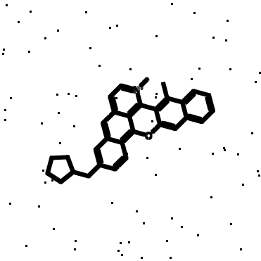 Cc1c2c(cc3ccccc13)Oc1c3ccc(CC4CCCC4)cc3cc3cc[n+](C)c-2c13